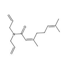 C=CCN(CC=C)C(=O)C=C(C)CCC=C(C)C